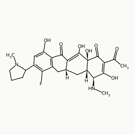 CN[C@@H]1C(O)=C(C(C)=O)C(=O)[C@@]2(O)C(O)=C3C(=O)c4c(O)cc(C5CCCN5C)c(F)c4C[C@H]3C[C@@H]12